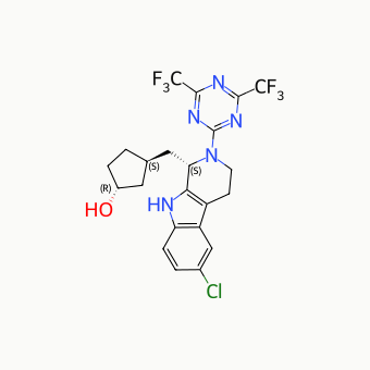 O[C@@H]1CC[C@@H](C[C@H]2c3[nH]c4ccc(Cl)cc4c3CCN2c2nc(C(F)(F)F)nc(C(F)(F)F)n2)C1